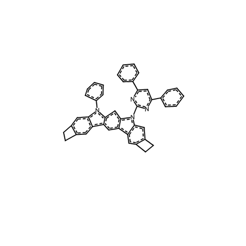 c1ccc(-c2cc(-c3ccccc3)nc(-n3c4cc5c(cc4c4cc6c7cc8c(cc7n(-c7ccccc7)c6cc43)CC8)CC5)n2)cc1